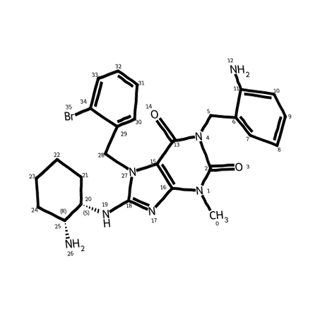 Cn1c(=O)n(Cc2ccccc2N)c(=O)c2c1nc(N[C@H]1CCCC[C@H]1N)n2Cc1ccccc1Br